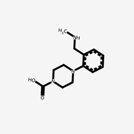 CNCc1ccccc1N1CCN(C(=O)O)CC1